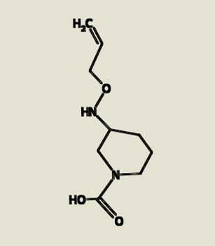 C=CCONC1CCCN(C(=O)O)C1